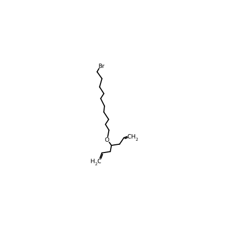 C=CCC(CC=C)OCCCCCCCCCCBr